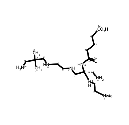 CNCCN[C@@](CN)(CNCCNCC(C)(C)CN)NC(=O)CCCC(=O)O